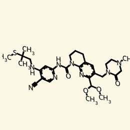 COC(OC)c1nc2c(cc1CN1CCN(C)CC1=O)CCCN2C(=O)Nc1cc(NCC(C)(C)SC)c(C#N)cn1